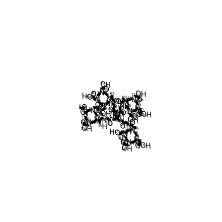 CC(=O)ON1CCN(CC(=O)O)CCN(C(C)C(=O)NCC(=O)NCC(CNC(=O)CNC(=O)C(C)N2CCN(CC(=O)O)CCN(CC(=O)O)CCN(CC(=O)O)CC2)(CNC(=O)CNC(=O)C(C)N2CCN(CC(=O)O)CCN(CC(=O)O)CCN(CC(=O)O)CC2)CNC(=O)CNC(=O)C(C)N2CCN(CC(=O)O)CCN(CC(=O)O)CCN(CC(=O)O)CC2)CCN(CC(=O)O)CC1